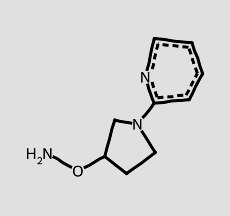 NOC1CCN(c2ccccn2)C1